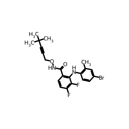 Cc1cc(Br)ccc1Nc1c(C(=O)NOCC#CC(C)(C)C)ccc(F)c1F